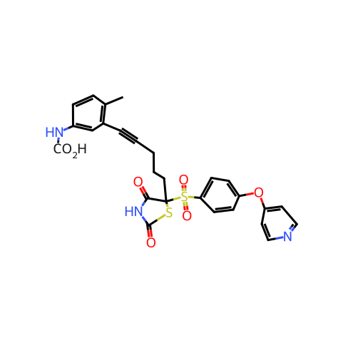 Cc1ccc(NC(=O)O)cc1C#CCCCC1(S(=O)(=O)c2ccc(Oc3ccncc3)cc2)SC(=O)NC1=O